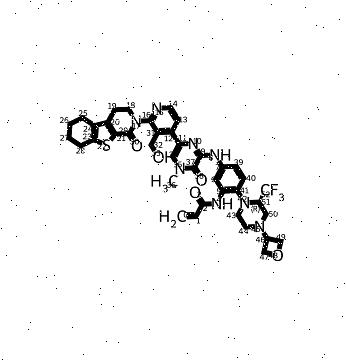 C=CC(=O)Nc1cc(Nc2nc(-c3ccnc(N4CCc5c(sc6c5CCCC6)C4=O)c3CO)cn(C)c2=O)ccc1N1CCN(C2COC2)C[C@@H]1C(F)(F)F